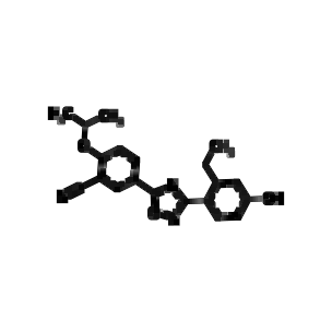 CCc1cc(O)ccc1-c1noc(-c2ccc(OC(C)C)c(C#N)c2)n1